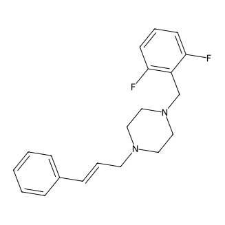 Fc1cccc(F)c1CN1CCN(CC=Cc2ccccc2)CC1